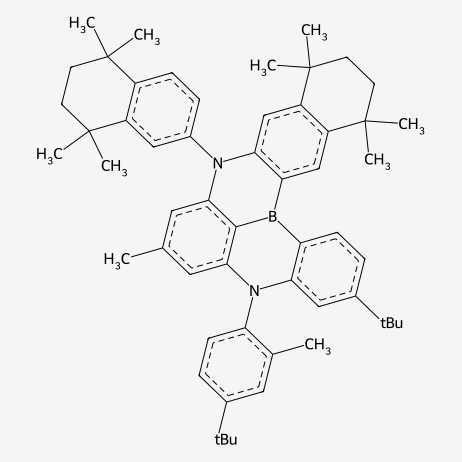 Cc1cc2c3c(c1)N(c1ccc(C(C)(C)C)cc1C)c1cc(C(C)(C)C)ccc1B3c1cc3c(cc1N2c1ccc2c(c1)C(C)(C)CCC2(C)C)C(C)(C)CCC3(C)C